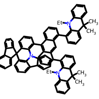 CCN1c2ccccc2C(C)(C)c2cccc(-c3cccc4c(-c5cccc6c5-n5c7ccccc7c7cccc(c75)C65c6ccccc6-c6ccccc65)c5cccc(-c6cccc7c6N(CC)c6ccccc6C7(C)C)c5cc34)c21